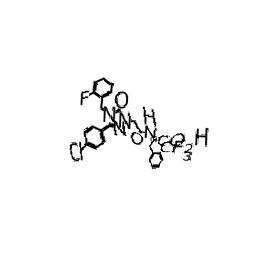 O=C(Cn1nc(-c2ccc(Cl)cc2)n(Cc2ccccc2F)c1=O)N[C@H](Cc1ccccc1C(F)(F)F)C(=O)O